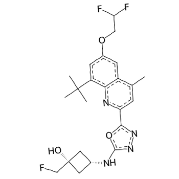 Cc1cc(-c2nnc(N[C@H]3C[C@](O)(CF)C3)o2)nc2c(C(C)(C)C)cc(OCC(F)F)cc12